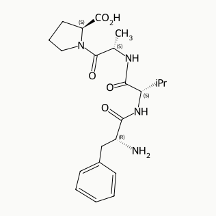 CC(C)[C@H](NC(=O)[C@H](N)Cc1ccccc1)C(=O)N[C@@H](C)C(=O)N1CCC[C@H]1C(=O)O